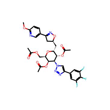 COc1ccc(C2=NO[C@@H](C[C@H]3O[C@H](COC(C)=O)[C@H](OC(C)=O)[C@H](n4cc(-c5cc(F)c(F)c(F)c5)nn4)[C@H]3OC(C)=O)C2)cn1